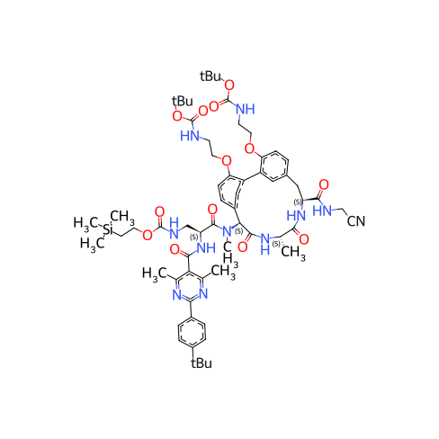 Cc1nc(-c2ccc(C(C)(C)C)cc2)nc(C)c1C(=O)N[C@@H](CNC(=O)OCC[Si](C)(C)C)C(=O)N(C)[C@@H]1C(=O)N[C@@H](C)C(=O)N[C@H](C(=O)NCC#N)Cc2ccc(OCCNC(=O)OC(C)(C)C)c(c2)-c2cc1ccc2OCCNC(=O)OC(C)(C)C